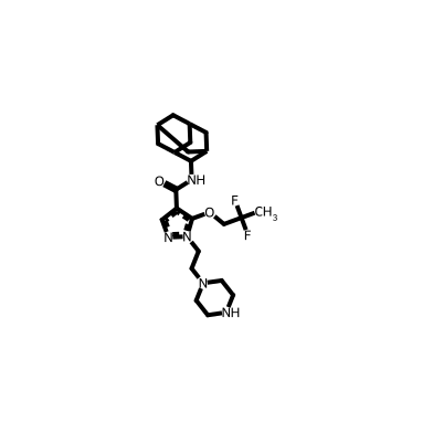 CC(F)(F)COc1c(C(=O)NC2C3CC4CC(C3)CC2C4)cnn1CCN1CCNCC1